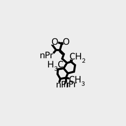 C=C1CCC2C(C)(CCC)C(CCC)CCC2(C)C1C/C=C1/C(=O)OCC1CCC